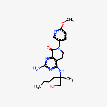 CCCCC(C)(CO)Nc1nc(N)nc2c1CCN(c1ccc(OC)nc1)C2=O